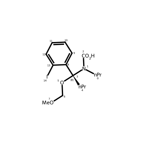 CCCN(C(=O)O)[C@](CCC)(OCOC)c1ccccc1I